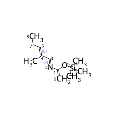 C=C(/N=C/C(C)=C/CC)O[Si](C)(C)C